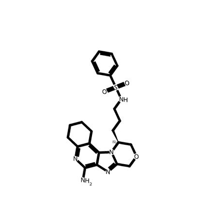 Nc1nc2c(c3c1nc1n3[C@@H](CCCNS(=O)(=O)c3ccccc3)COC1)CCCC2